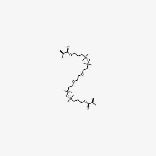 C=C(C)C(=O)OCCC[Si](C)(C)O[Si](C)(C)CCOCCOCC[Si](C)(C)O[Si](C)(C)CCCOC(=O)C(=C)C